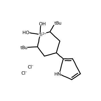 CC(C)(C)[CH]1CC(c2ccc[nH]2)C[CH](C(C)(C)C)[Ti+2]1([OH])[OH].[Cl-].[Cl-]